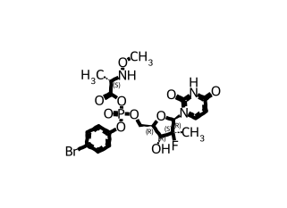 CON[C@@H](C)C(=O)OP(=O)(OC[C@H]1O[C@@H](n2ccc(=O)[nH]c2=O)[C@@](C)(F)[C@@H]1O)Oc1ccc(Br)cc1